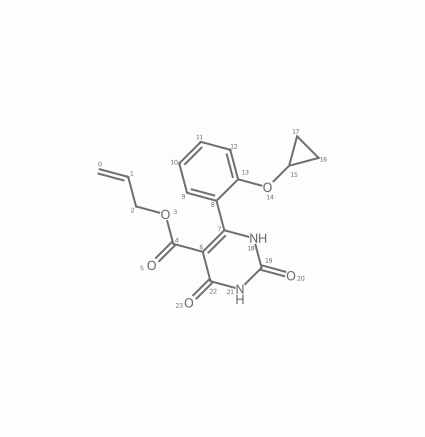 C=CCOC(=O)c1c(-c2ccccc2OC2CC2)[nH]c(=O)[nH]c1=O